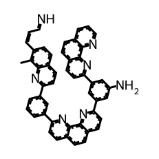 Cc1c(/C=C\C=N)ccc2ccc(-c3cccc(-c4ccc5ccc6ccc(-c7cc(N)cc(-c8ccc9ccc%10cccnc%10c9n8)c7)nc6c5n4)c3)nc12